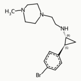 CN1CCN(CCN[C@@H]2C[C@H]2c2ccc(Br)cc2)CC1